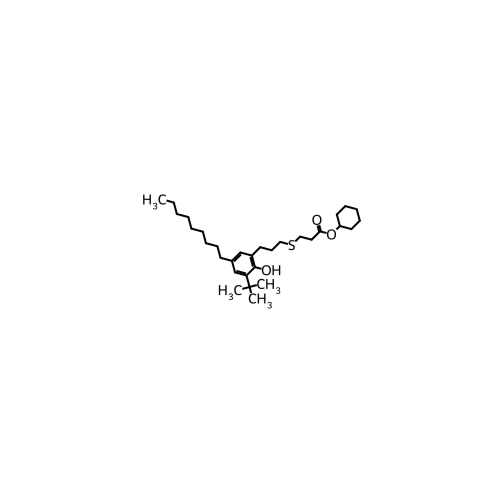 CCCCCCCCCc1cc(CCCSCCC(=O)OC2CCCCC2)c(O)c(C(C)(C)C)c1